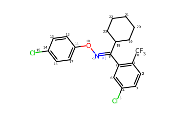 FC(F)(F)c1ccc(Cl)cc1/C(=N/Oc1ccc(Cl)cc1)C1CCCCC1